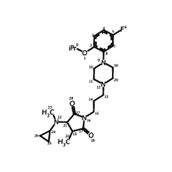 CC(C)Oc1ccc(F)cc1N1CCN(CCCN2C(=O)C(C)C(N(C)C3CC3)C2=O)CC1